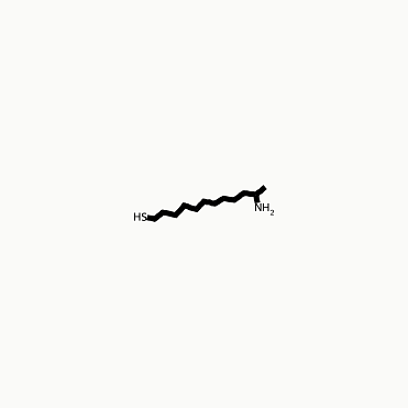 CC(N)CCCCCCCCCCS